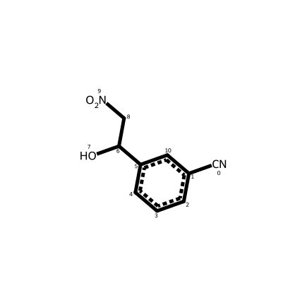 N#Cc1cccc(C(O)C[N+](=O)[O-])c1